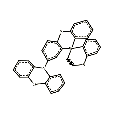 c1ccc2c(c1)Oc1ccccc1N2c1ccc2c(c1)[Si]1(c3ccccc3Sc3ccccc31)c1ccccc1S2